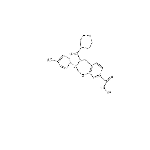 CC1=CCC([C@H]2COc3cc(C(=O)NO)ccc3CN2C(=O)C2CCOCC2)C=C1